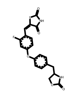 O=C1NC(Cc2ccc(Oc3ccc(/C=C4/SC(=O)NC4=O)c(F)c3)cc2)CO1